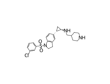 O=S(=O)(c1cccc(Cl)c1)N1CCc2cc([C@@H]3C[C@H]3NCC3CCNCC3)ccc21